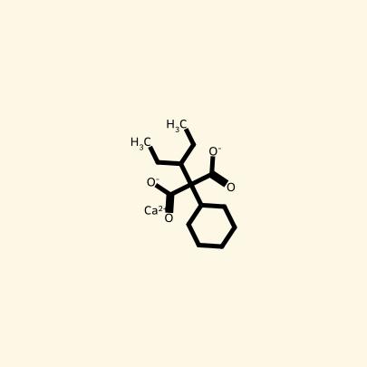 CCC(CC)C(C(=O)[O-])(C(=O)[O-])C1CCCCC1.[Ca+2]